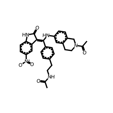 CC(=O)NCCc1ccc(C(Nc2ccc3c(c2)CCN(C(C)=O)C3)=C2C(=O)Nc3ccc([N+](=O)[O-])cc32)cc1